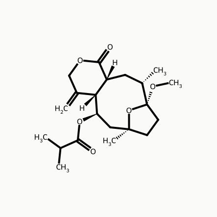 C=C1COC(=O)[C@@H]2C[C@H](C)[C@@]3(OC)CC[C@@](C)(C[C@@H](OC(=O)C(C)C)[C@H]12)O3